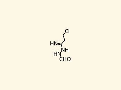 N=C(CCCl)NNC=O